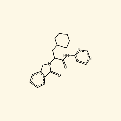 O=C(Nc1ccncn1)C(CC1CCCCC1)N1Cc2ccccc2C1=O